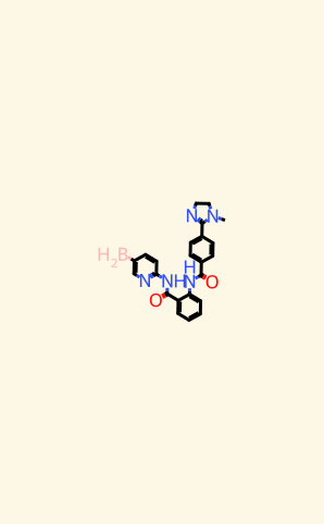 Bc1ccc(NC(=O)c2ccccc2NC(=O)c2ccc(C3=NCCN3C)cc2)nc1